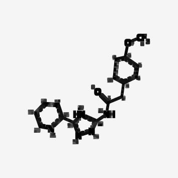 O=C(Cc1ccc(OC(F)(F)F)cc1)Nc1nnc(-c2ccccn2)[nH]1